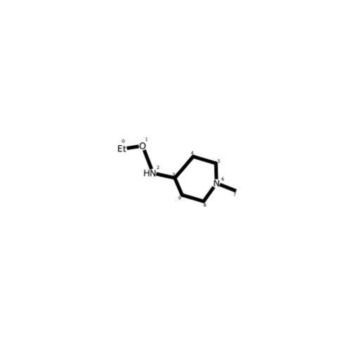 CCONC1CCN(C)CC1